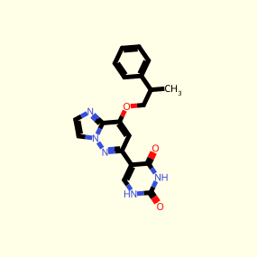 CC(COc1cc(-c2c[nH]c(=O)[nH]c2=O)nn2ccnc12)c1ccccc1